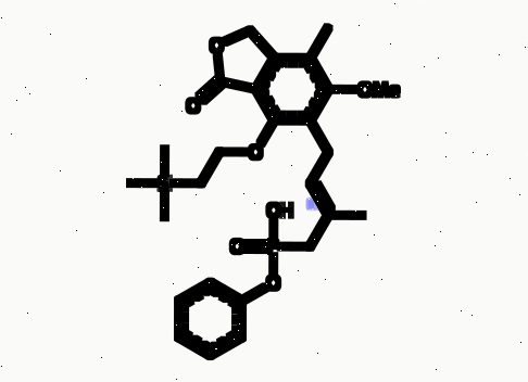 COc1c(C)c2c(c(OCC[Si](C)(C)C)c1C/C=C(\C)CP(=O)(O)Oc1ccccc1)C(=O)OC2